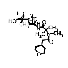 CN(C(=O)CC1CCOCC1)C(C)(C)C(=O)NC1=CC(C(C)(C)CO)NO1